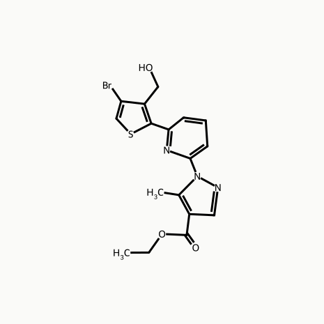 CCOC(=O)c1cnn(-c2cccc(-c3scc(Br)c3CO)n2)c1C